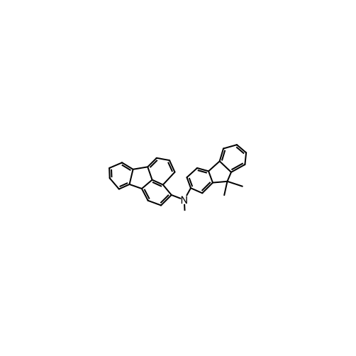 CN(c1ccc2c(c1)C(C)(C)c1ccccc1-2)c1ccc2c3c(cccc13)-c1ccccc1-2